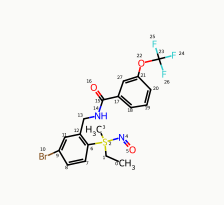 CCS(C)(N=O)c1ccc(Br)cc1CNC(=O)c1cccc(OC(F)(F)F)c1